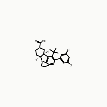 CC(C)(C)c1c(-c2cc(Cl)cc(Cl)c2)cc2c3c1[C@@H]1CN(C(=O)O)CC[C@@H]1N3CC2